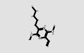 C=Cc1nc(OC)c(CCCCC)nc1OC